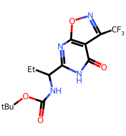 CCC(NC(=O)OC(C)(C)C)c1nc2onc(C(F)(F)F)c2c(=O)[nH]1